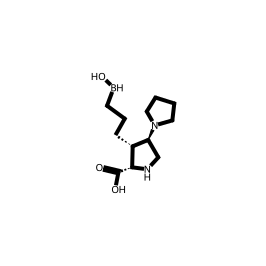 O=C(O)[C@H]1NC[C@H](N2CCCC2)[C@H]1CCCBO